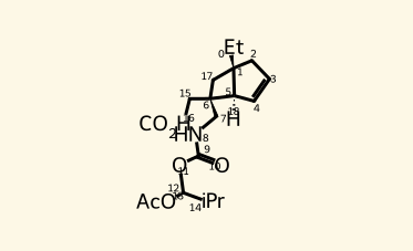 CC[C@@]12CC=C[C@H]1[C@](CNC(=O)O[C@H](OC(C)=O)C(C)C)(CC(=O)O)C2